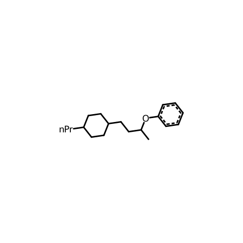 CCCC1CCC(CCC(C)Oc2ccccc2)CC1